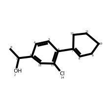 CC(O)c1ccc(C2=CCCCC2)c(Cl)c1